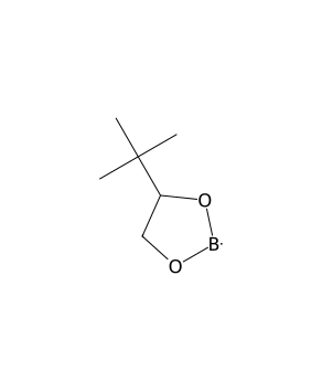 CC(C)(C)C1CO[B]O1